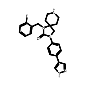 O=C1N(c2ccc(-c3cn[nH]c3)cc2)CC2(CCNCC2)N1Cc1ccccc1F